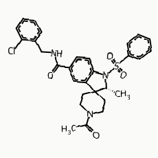 CC(=O)N1CCC2(CC1)c1cc(C(=O)NCc3ccccc3Cl)ccc1N(S(=O)(=O)c1ccccc1)[C@@H]2C